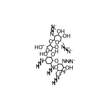 [N-]=[N+]=NC[C@@H]1OC(OC2[C@@H](O)[C@H](O[C@@H]3[C@@H](O)[C@H](N=[N+]=[N-])C[C@H](N=[N+]=[N-])[C@H]3O[C@H]3O[C@H](CN=[N+]=[N-])C(F)(F)[C@H](O)[C@H]3N=[N+]=[N-])O[C@@H]2CO)[C@H](N=[N+]=[N-])[C@@H](O)[C@@H]1O